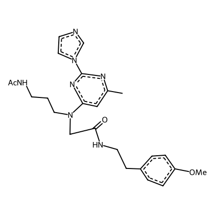 COc1ccc(CCNC(=O)CN(CCCNC(C)=O)c2cc(C)nc(-n3ccnc3)n2)cc1